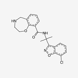 CC(C)(NC(=O)c1cccc2c1OCCNC2)c1noc2c(Cl)cccc12